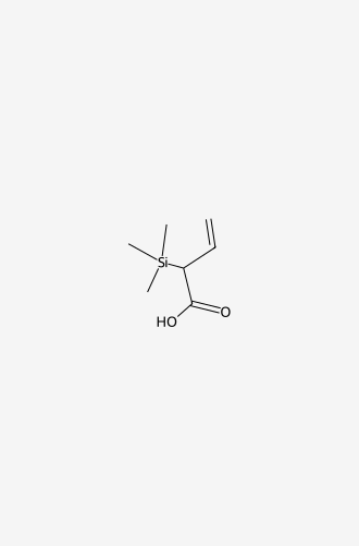 C=CC(C(=O)O)[Si](C)(C)C